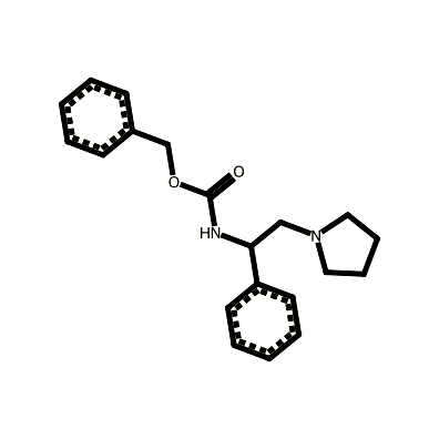 O=C(NC(CN1CCCC1)c1ccccc1)OCc1ccccc1